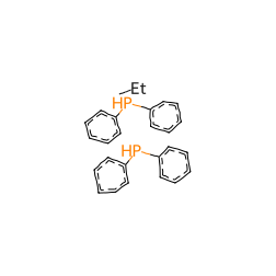 CCC.c1ccc(Pc2ccccc2)cc1.c1ccc(Pc2ccccc2)cc1